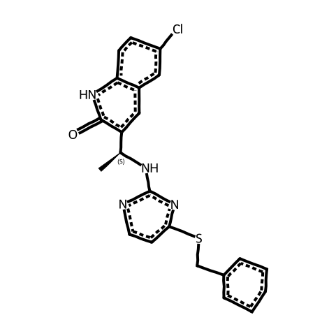 C[C@H](Nc1nccc(SCc2ccccc2)n1)c1cc2cc(Cl)ccc2[nH]c1=O